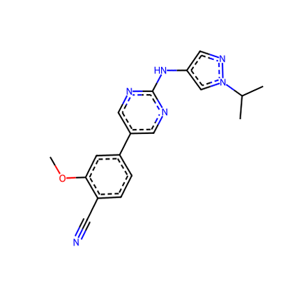 COc1cc(-c2cnc(Nc3cnn(C(C)C)c3)nc2)ccc1C#N